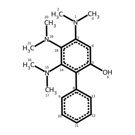 CN(C)c1cc(O)c(-c2ccccc2)c(N(C)C)c1N(C)C